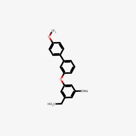 COc1cc(CC(=O)O)cc(Oc2cccc(-c3ccc(OC(F)(F)F)cc3)c2)c1